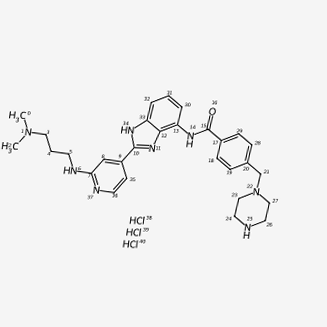 CN(C)CCCNc1cc(-c2nc3c(NC(=O)c4ccc(CN5CCNCC5)cc4)cccc3[nH]2)ccn1.Cl.Cl.Cl